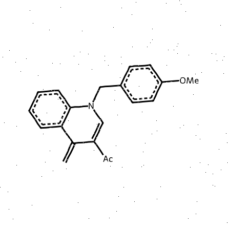 C=C1C(C(C)=O)=CN(Cc2ccc(OC)cc2)c2ccccc21